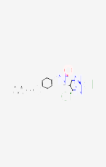 COc1ccc(CN2Cc3c(Cl)nc(Cl)nc3C2=O)cc1